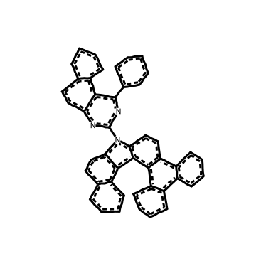 c1ccc(-c2nc(-n3c4ccc5ccccc5c4c4c5c6ccccc6c6ccccc6c5ccc43)nc3ccc4ccccc4c23)cc1